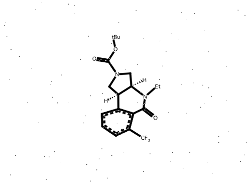 CCN1C(=O)c2c(cccc2C(F)(F)F)[C@H]2CN(C(=O)OC(C)(C)C)C[C@H]21